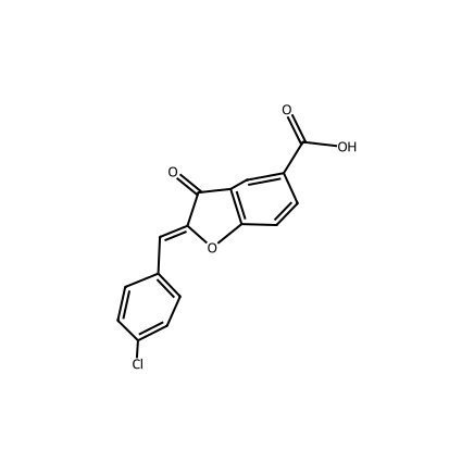 O=C(O)c1ccc2c(c1)C(=O)/C(=C/c1ccc(Cl)cc1)O2